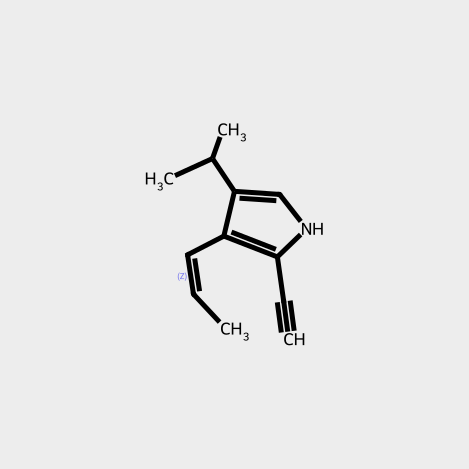 C#Cc1[nH]cc(C(C)C)c1/C=C\C